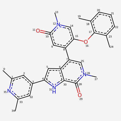 Cc1cc(-c2cc3c(-c4cc(=O)n(C)cc4Oc4c(C)cccc4C)cn(C)c(=O)c3[nH]2)cc(C)n1